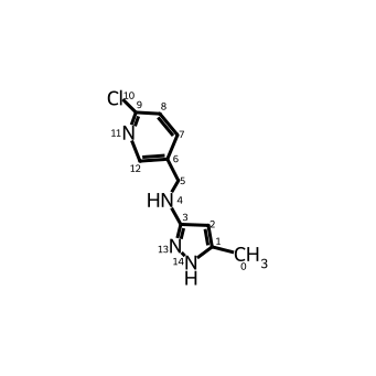 Cc1cc(NCc2ccc(Cl)nc2)n[nH]1